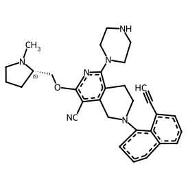 C#Cc1cccc2cccc(N3CCc4c(N5CCNCC5)nc(OC[C@@H]5CCCN5C)c(C#N)c4C3)c12